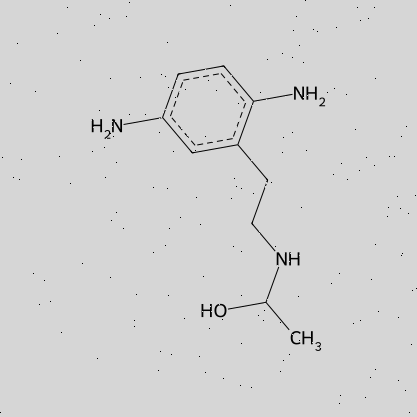 CC(O)NCCc1cc(N)ccc1N